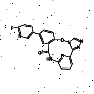 O=C1Nc2cccc(n2)-c2nncn2Oc2ccc(-c3ccc(F)nc3)cc21